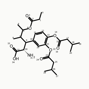 CCC(=O)OC(C)C(C)C(c1ccc(OC(=O)CC(C)C)c(OC(=O)CC(C)C)c1)[C@H](N)C(=O)O